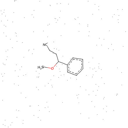 N#CCCC(O[SiH3])c1ccccc1